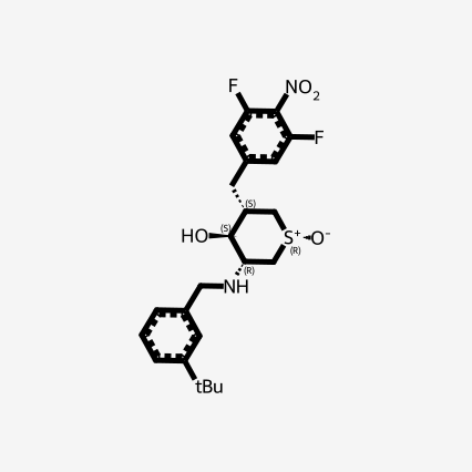 CC(C)(C)c1cccc(CN[C@H]2C[S@@+]([O-])C[C@@H](Cc3cc(F)c([N+](=O)[O-])c(F)c3)[C@@H]2O)c1